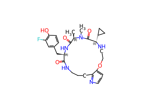 C[C@@H]1C(=O)N[C@H](Cc2ccc(O)c(F)c2)C(=O)NCCCc2ncccc2OCCN[C@@H](C2CC2)C(=O)N1C